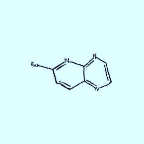 CCC(C)c1ccc2nccnc2n1